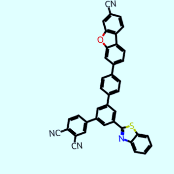 N#Cc1ccc2c(c1)oc1cc(-c3ccc(-c4cc(-c5ccc(C#N)c(C#N)c5)cc(-c5nc6ccccc6s5)c4)cc3)ccc12